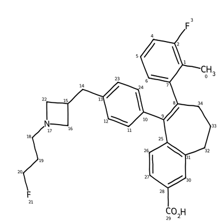 Cc1c(F)cccc1C1=C(c2ccc(CC3CN(CCCF)C3)cc2)c2ccc(C(=O)O)cc2CCC1